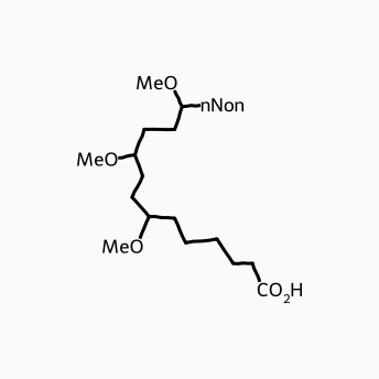 CCCCCCCCCC(CCC(CCC(CCCCCC(=O)O)OC)OC)OC